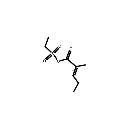 CC/C=C(\C)C(=O)OS(=O)(=O)CC